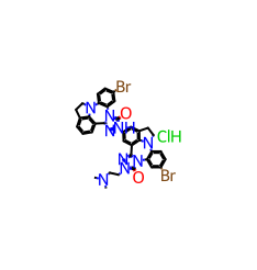 CN(C)CCn1nc2n(c1=O)-c1cc(Br)ccc1N1CCc3cccc-2c31.Cl.O=c1[nH]nc2n1-c1cc(Br)ccc1N1CCc3cccc-2c31